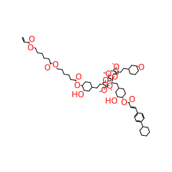 C=CC(=O)OCCCCCC(=O)OCCCCCC(=O)OC1CCC(CC[Si](OC)(OC)O[Si](CCC2CCC(OC(=O)/C=C/c3ccc(C4CCCCC4)cc3)C(O)C2)(OC)O[Si](C)(CCC2CCC3OC3C2)OC)CC1O